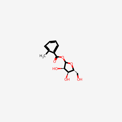 Cc1ccccc1C(=O)OC1O[C@H](CO)[C@@H](O)[C@H]1O